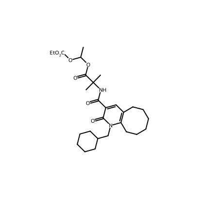 CCOC(=O)OC(C)OC(=O)C(C)(C)NC(=O)c1cc2c(n(CC3CCCCC3)c1=O)CCCCCC2